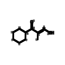 C/C(=N\O)C(=O)C1CCCCC1